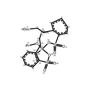 CCCCCCCCCCCCc1ccccc1S(=O)(=O)[O][Ti]([O]C(C)C)([O]C(C)C)[O]S(=O)(=O)c1ccccc1CCCCCCCCCCCC